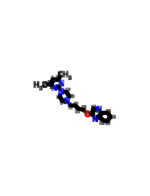 Cc1cc(C)nc(N2CCN(CCCCOc3cnc4c(n3)CCCC4)CC2)n1